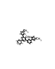 COc1c(-c2cccc(-c3ccn(C)n3)c2)nc(N2CCOCC2)nc1-c1cnn(C)c1